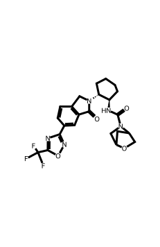 O=C(N[C@@H]1CCCC[C@H]1N1Cc2ccc(-c3noc(C(F)(F)F)n3)cc2C1=O)N1CC2CC1CO2